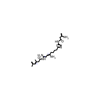 C=C(C)/C=C(\C)CC(=O)N/C(N)=C/C=C(\N)CCCCc1nnc(NC(=O)CC(=C)N)s1